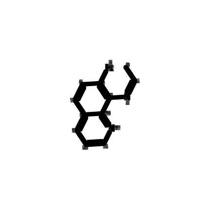 C/C=N\c1c(CC)ccc2cccnc12